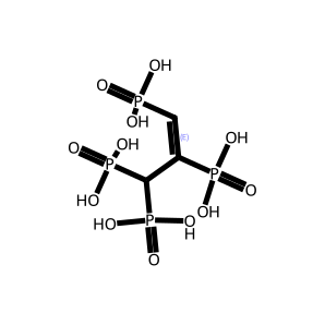 O=P(O)(O)/C=C(\C(P(=O)(O)O)P(=O)(O)O)P(=O)(O)O